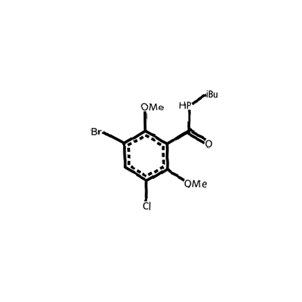 CCC(C)PC(=O)c1c(OC)c(Cl)cc(Br)c1OC